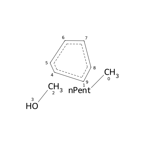 CCCCCC.CO.c1ccccc1